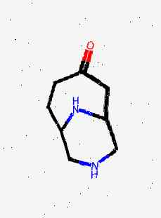 O=C1CCC2CNCC(C1)N2